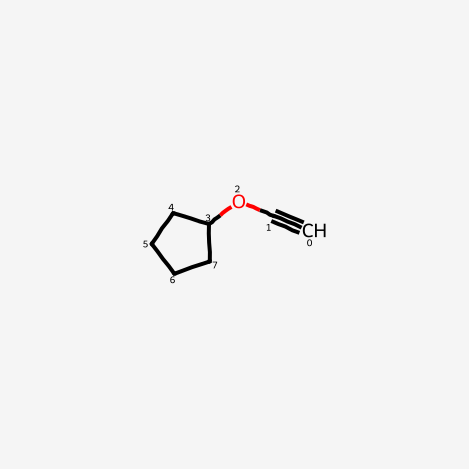 C#COC1CCCC1